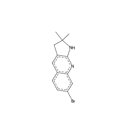 CC1(C)Cc2cc3ccc(Br)cc3nc2N1